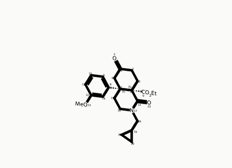 CCOC(=O)[C@@]12CCC(=O)C[C@]1(c1cccc(OC)c1)CCN(CC1CC1)C2=O